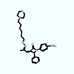 COc1ccc(N2C(=O)C(=CC(C)=NOCCCCCCN3CCOCC3)C2c2ccccc2)cc1